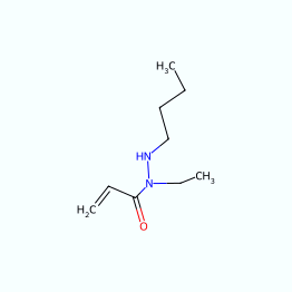 C=CC(=O)N(CC)NCCCC